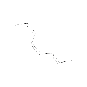 C\C=C/C=C\C=C\C